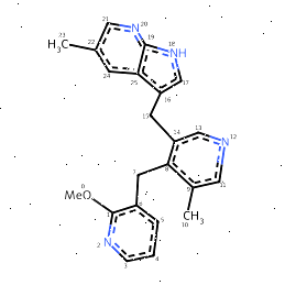 COc1ncccc1Cc1c(C)[c]ncc1Cc1c[nH]c2ncc(C)cc12